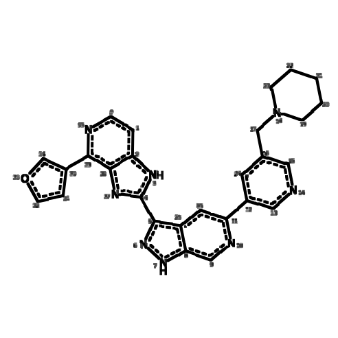 c1cc2[nH]c(-c3n[nH]c4cnc(-c5cncc(CN6CCCCC6)c5)cc34)nc2c(-c2ccoc2)n1